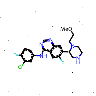 COCCN1CCNCC1c1cc2ncnc(Nc3ccc(F)c(Cl)c3)c2cc1F